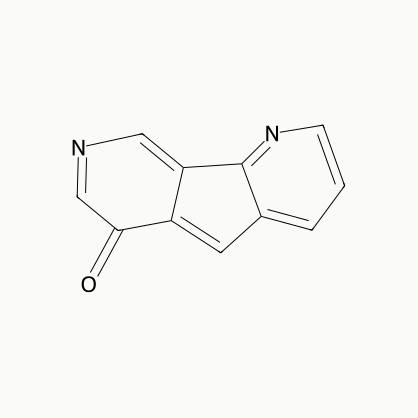 O=C1C=NC=C2C1=Cc1cccnc12